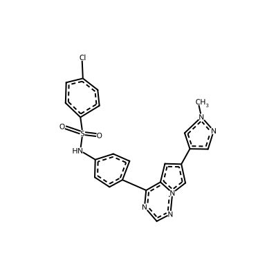 Cn1cc(-c2cc3c(-c4ccc(NS(=O)(=O)c5ccc(Cl)cc5)cc4)ncnn3c2)cn1